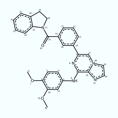 COc1ccc(Nc2nc(-c3cccc(C(=O)N4CCc5ccccc54)c3)cn3ccnc23)cc1OC